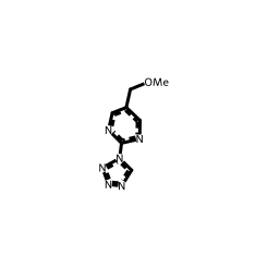 COCc1cnc(-n2cnnn2)nc1